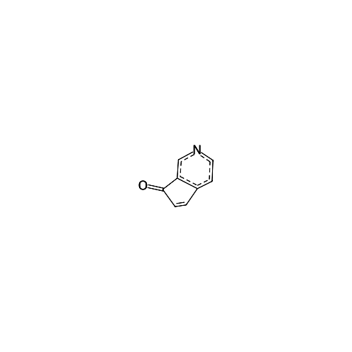 O=C1C=Cc2ccncc21